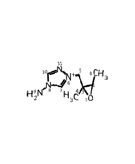 CC1OC1(C)C[n+]1cn(N)cn1